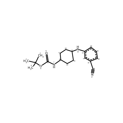 CC(C)(C)OC(=O)NC1CCC(Nc2[c]c(C#N)ccc2)CC1